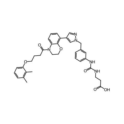 Cc1cccc(OCCCC(=O)N2CCOc3c(-c4cnn(Cc5cccc(NC(=O)NCCC(=O)O)c5)c4)cccc32)c1C